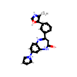 O=C1CC(c2cccc(-c3ocnc3C(=O)O)c2)=Nc2ccc(-n3cccc3)cc2N1